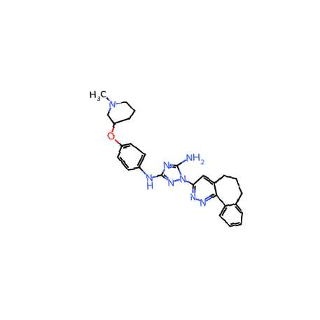 CN1CCCC(Oc2ccc(Nc3nc(N)n(-c4cc5c(nn4)-c4ccccc4CCC5)n3)cc2)C1